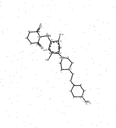 NN1CCC(CCN2CCN(c3cc(F)c(NN4C(=O)CCCC4=O)cc3F)CC2)CC1